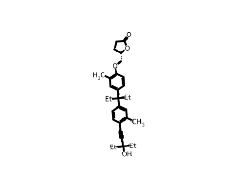 CCC(O)(C#Cc1ccc(C(CC)(CC)c2ccc(OC[C@@H]3CCC(=O)O3)c(C)c2)cc1C)CC